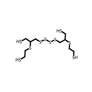 SCCSC(CS)CSSSSCC(CS)SCCS